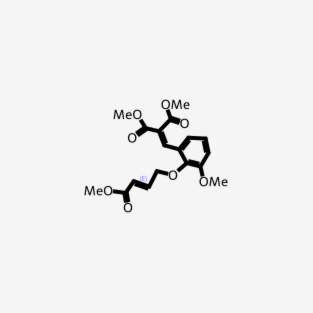 COC(=O)/C=C/COc1c(C=C(C(=O)OC)C(=O)OC)cccc1OC